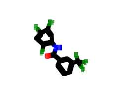 O=C(Nc1cc(Br)c(F)cc1F)c1cccc(C(F)(F)F)c1